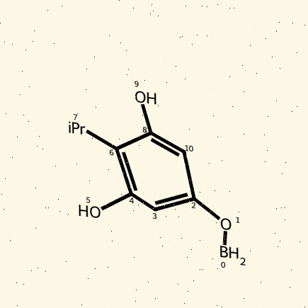 BOc1cc(O)c(C(C)C)c(O)c1